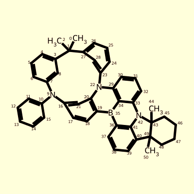 CC1(C)c2cccc(c2)N(c2ccccc2)c2ccc3c(c2)N(c2cccc1c2)c1cccc2c1B3c1cccc3c1N2C1(C)CCCCC31C